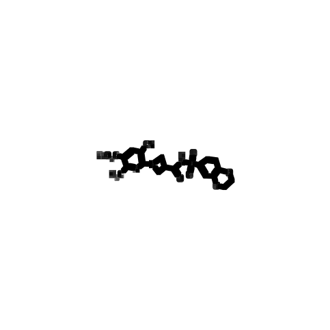 CCOC(=O)c1cc(C#N)c(N2CC(C(=O)NS(=O)(=O)c3ccc4c(c3)OCCO4)C2)nc1C